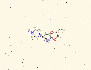 CCC1COc2ncc(N3CCN(C)CC3)cc2O1